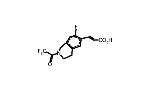 O=C(O)C=Cc1cc2c(cc1F)CN(C(=O)C(F)(F)F)CC2